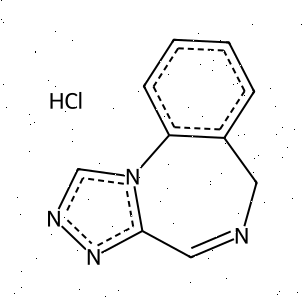 C1=NCc2ccccc2-n2cnnc21.Cl